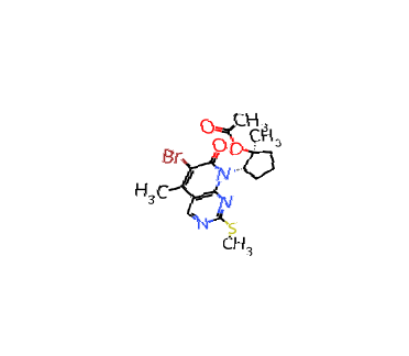 CSc1ncc2c(C)c(Br)c(=O)n([C@H]3CCC[C@]3(C)OC(C)=O)c2n1